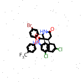 O=C1C[C@@H](C2C=CC=C(Cl)C2)[C@]2(C(=O)Nc3cc(Cl)ccc32)[C@H](c2cc(Br)ccc2Oc2ccc(C(F)(F)F)cc2)N1